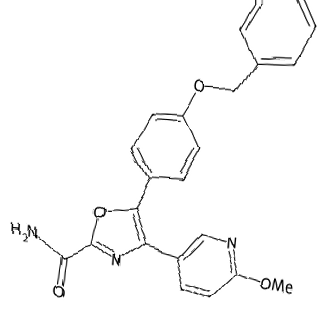 COc1ccc(-c2nc(C(N)=O)oc2-c2ccc(OCc3ccccc3)cc2)cn1